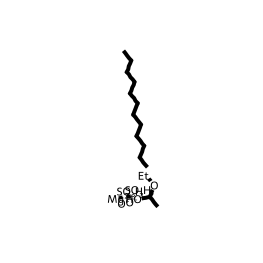 CCCCCCCCCCCC.CCOC(C)O.O=S(=O)([O-])O.O=S(=O)([O-])O.[Mg+2]